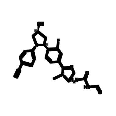 C#Cc1ccc(N2C[C@H](O)C[C@@H]2c2ccc(C3=NCCN3C)cc2F)cc1.NC(=O)NC=O